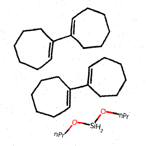 C1=C(C2=CCCCCC2)CCCCC1.C1=C(C2=CCCCCC2)CCCCC1.CCCO[SiH2]OCCC